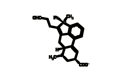 CC(C)[N@+]1(C)C(CCC=O)=C2C[C@@H]3C(=C[C@@H](C(=O)[O-])CN3C)c3cccc1c32